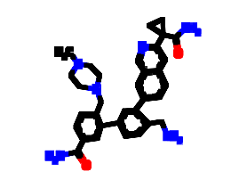 CN1CCN(Cc2ccc(C(N)=O)cc2-c2ccc(CN)c(-c3ccc4cc(C5(C(N)=O)CC5)ncc4c3)c2)CC1